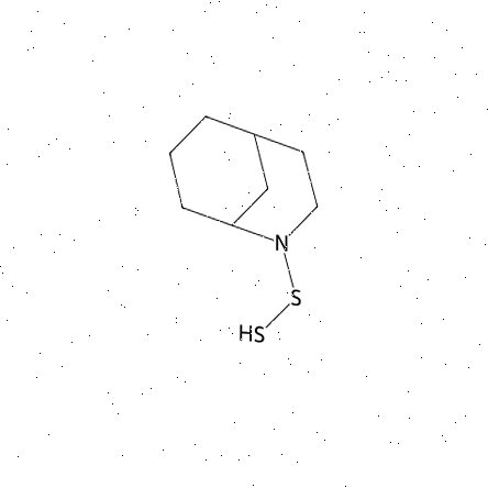 SSN1CCC2CCCC1C2